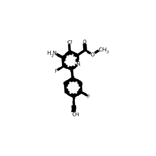 C#Cc1ccc(-c2nc(C(=O)OC)c(Cl)c(N)c2F)cc1F